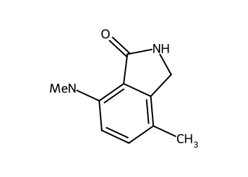 CNc1ccc(C)c2c1C(=O)NC2